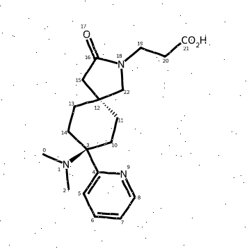 CN(C)[C@]1(c2ccccn2)CC[C@]2(CC1)CC(=O)N(CCC(=O)O)C2